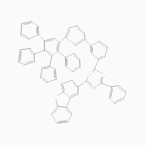 c1ccc(-c2nc(-c3cccc(-c4cccc(-c5cc(-c6ccccc6)c(-c6ccccc6)c(-c6ccccc6)c5-c5ccccc5)c4)c3)nc(-c3ccc4oc5ccccc5c4c3)n2)cc1